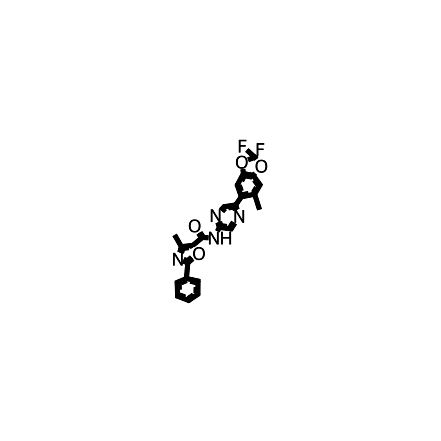 Cc1cc2c(cc1-c1cnc(NC(=O)c3oc(-c4ccccc4)nc3C)cn1)OC(F)(F)O2